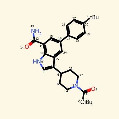 CC(C)COC(=O)N1CCC(c2c[nH]c3c(C(N)=O)cc(-c4ccc(C(C)(C)C)cc4)cc23)CC1